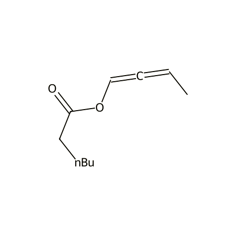 CC=C=COC(=O)CCCCC